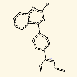 C=C/C=C(\C=C)c1ccc(-c2nc(Br)nc3ccccc23)cc1